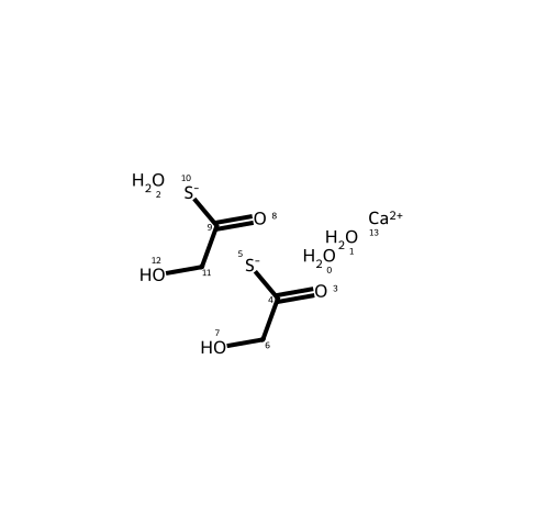 O.O.O.O=C([S-])CO.O=C([S-])CO.[Ca+2]